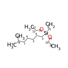 C=C[Si](CCCCCC(C)C)(OCC)OCC